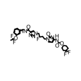 CC(F)(F)Oc1cccc(CNC(=O)c2cn(CC(F)CCn3ccc(NC(=O)OC4CCC(F)(F)CC4)nc3=O)nn2)c1